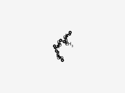 COc1ccc(-c2cccc(O[C@@H]3COC4(C3)CN(C[C@H]3c5ccccc5CC3c3ccc5c(c3)CC[C@@H]5CN3CC5(C[C@@H](Oc6ccccc6)CO5)C3)C4)c2)cc1OC1COC2(C1)CN(CC1CCc3ccccc31)C2